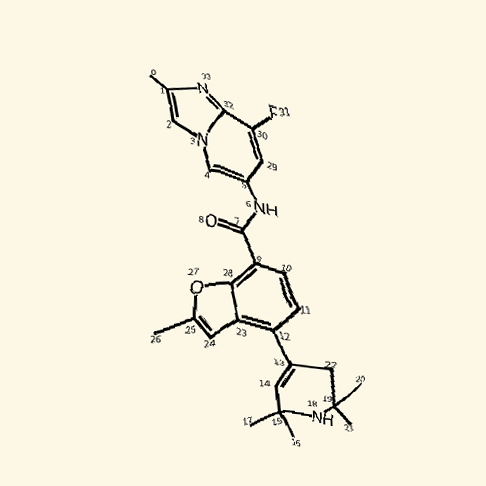 Cc1cn2cc(NC(=O)c3ccc(C4=CC(C)(C)NC(C)(C)C4)c4cc(C)oc34)cc(F)c2n1